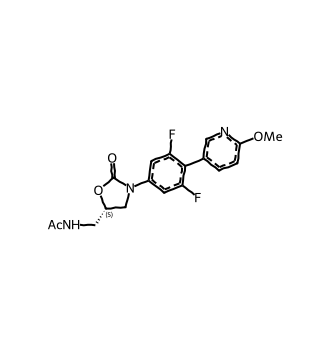 COc1ccc(-c2c(F)cc(N3C[C@H](CNC(C)=O)OC3=O)cc2F)cn1